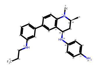 CC(=O)N1c2ccc(-c3cccc(NCCC(F)(F)F)c3)cc2[C@H](Nc2ccc(N)cc2)C[C@@H]1C